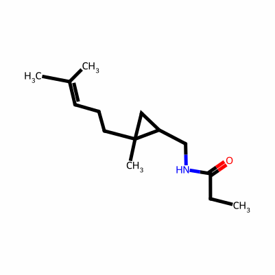 CCC(=O)NCC1CC1(C)CCC=C(C)C